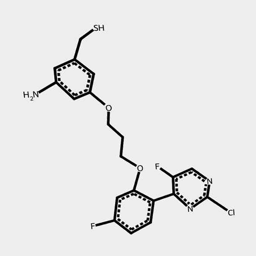 Nc1cc(CS)cc(OCCCOc2cc(F)ccc2-c2nc(Cl)ncc2F)c1